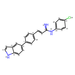 N=C(C=Cc1ccc(-c2ccc3[nH]ccc3c2)cc1)Nc1ccc(Cl)cc1